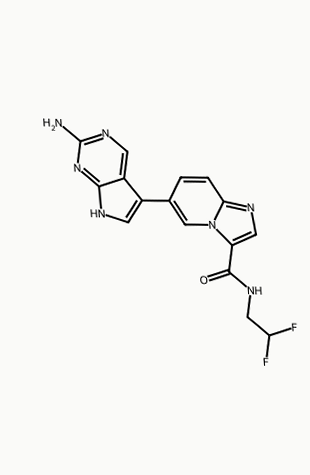 Nc1ncc2c(-c3ccc4ncc(C(=O)NCC(F)F)n4c3)c[nH]c2n1